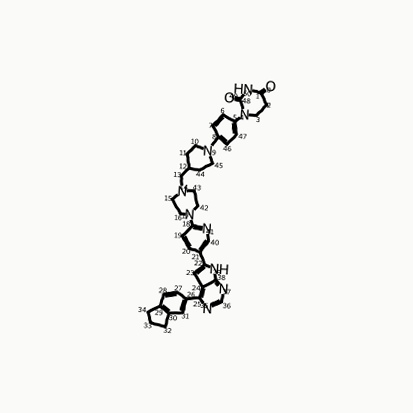 O=C1CCN(c2ccc(N3CCC(CN4CCN(c5ccc(-c6cc7c(-c8ccc9c(c8)CCC9)ncnc7[nH]6)cn5)CC4)CC3)cc2)C(=O)N1